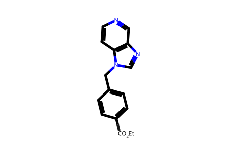 CCOC(=O)c1ccc(Cn2cnc3cnccc32)cc1